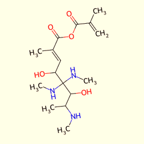 C=C(C)C(=O)OC(=O)C(C)=CC(O)C(NC)(NC)C(O)C(C)NC